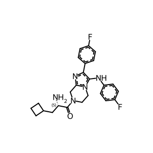 N[C@@H](CC1CCC1)C(=O)N1CCn2c(nc(-c3ccc(F)cc3)c2Nc2ccc(F)cc2)C1